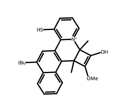 COC1=C(O)C2(C)[n+]3cccc(S)c3-c3cc(C(C)(C)C)c4ccccc4c3C12C